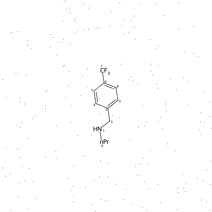 CCCNCc1ccc(C(F)(F)F)cc1